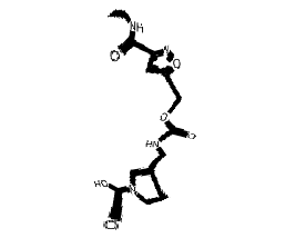 CNC(=O)c1cc(COC(=O)NCC2CCN(C(=O)O)C2)on1